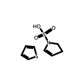 O=S(=O)(O)N1C=CCC1.c1ccsc1